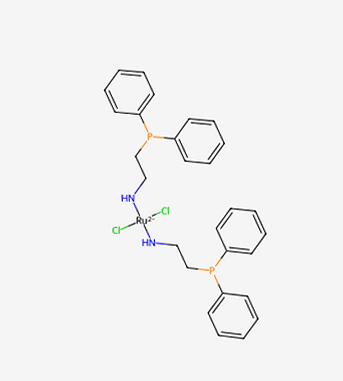 [Cl][Ru-2]([Cl])([NH]CCP(c1ccccc1)c1ccccc1)[NH]CCP(c1ccccc1)c1ccccc1